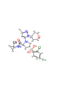 Cc1cc(N2C[C@H](S(=O)(=O)c3ccc(F)cc3Cl)C[C@H]2C(=O)NC2(C#N)CC2)n(C2CCOCC2)n1